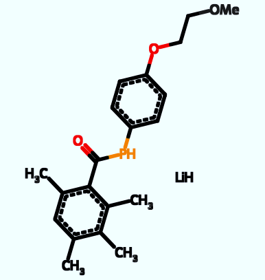 COCCOc1ccc(PC(=O)c2c(C)cc(C)c(C)c2C)cc1.[LiH]